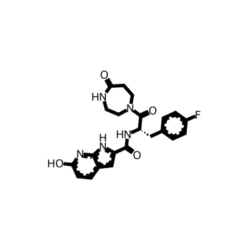 O=C1CCN(C(=O)[C@H](Cc2ccc(F)cc2)NC(=O)c2cc3ccc(O)nc3[nH]2)CCN1